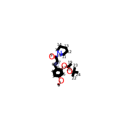 COc1ccc(/C=C/C(=O)N2CCCCC2)c(OC(C)OC(C)(C)C)c1